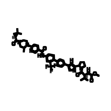 COC(=O)N[C@H](C(=O)N1CCCC1c1ncc(-c2ccc(-c3ccc(NC(=O)c4ccc(N5CCN(C(=O)[C@H]6CC6(C)C)CC5C)nc4)cc3C(F)(F)F)cc2)[nH]1)C(C)C